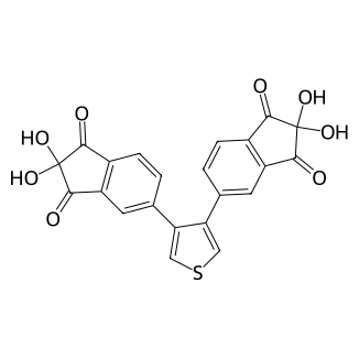 O=C1c2ccc(-c3cscc3-c3ccc4c(c3)C(=O)C(O)(O)C4=O)cc2C(=O)C1(O)O